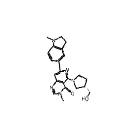 CN1CCc2cc(-c3cc4ncn(C)c(=O)c4c(N4CC[C@H](CO)C4)n3)ccc21